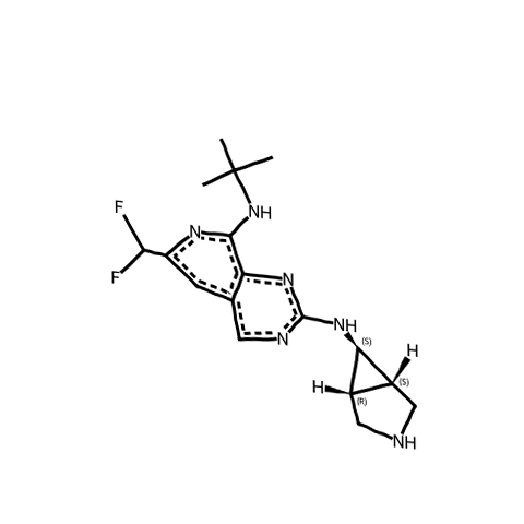 CC(C)(C)Nc1nc(C(F)F)cc2cnc(N[C@H]3[C@@H]4CNC[C@@H]43)nc12